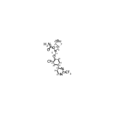 C[C@@H](CC(C)(C)C)C[C@@](C)(COc1ccc(-c2ccnc(C(F)(F)F)n2)cc1Cl)OC(N)=O